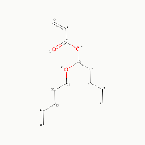 C=CC(=O)OC(CCCC)OCCCCC